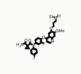 CCN(CC)CCCOc1cc2c(Oc3ccc(N(C(=O)C4(C(N)=O)CC4)c4ccc(F)cc4)cc3F)ccnc2cc1OC